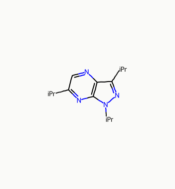 CC(C)c1cnc2c(C(C)C)nn(C(C)C)c2n1